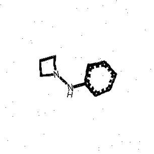 c1ccc(NN2CCC2)cc1